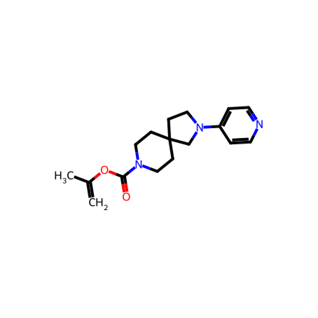 C=C(C)OC(=O)N1CCC2(CC1)CCN(c1ccncc1)C2